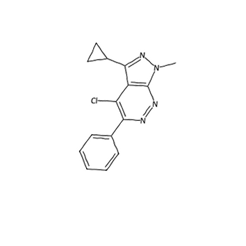 Cn1nc(C2CC2)c2c(Cl)c(-c3ccccc3)nnc21